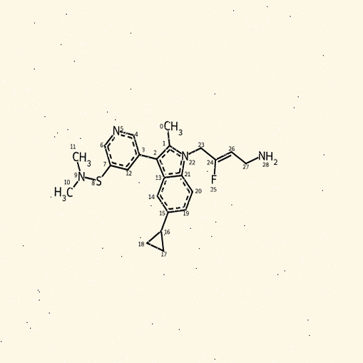 Cc1c(-c2cncc(SN(C)C)c2)c2cc(C3CC3)ccc2n1C/C(F)=C/CN